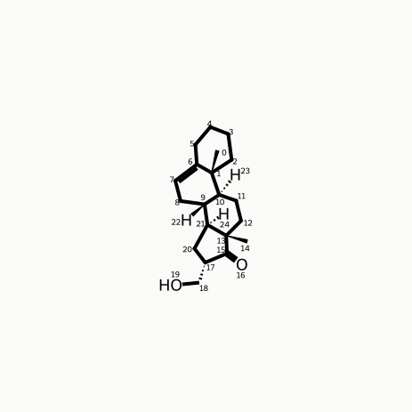 C[C@]12CCCCC1=CC[C@@H]1[C@@H]2CC[C@]2(C)C(=O)[C@H](CO)C[C@@H]12